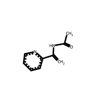 C=C(NC(C)=O)c1ccccn1